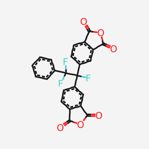 O=C1OC(=O)c2cc(C(F)(c3ccc4c(c3)C(=O)OC4=O)C(F)(F)c3ccccc3)ccc21